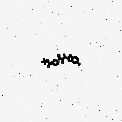 CC(NC(=O)[C@@H]1CCN(C(=O)OC(C)(C)C)C1)c1cc2cc(F)ccc2o1